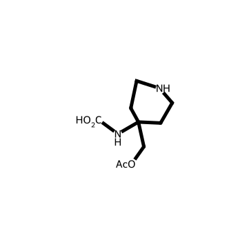 CC(=O)OCC1(NC(=O)O)CCNCC1